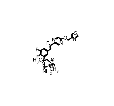 CN1C(N)=N[C@](C)(c2cc(/C=C(\F)c3cnc(OCc4cscn4)cn3)cc(F)c2F)CS1(=O)=O